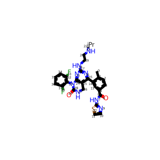 Cc1ccc(C(=O)Nc2nccs2)cc1-c1nc(NCCNC(C)C)nc2c1CNC(=O)N2c1c(F)cccc1F